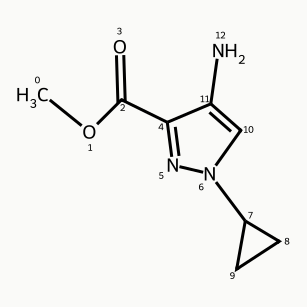 COC(=O)c1nn(C2CC2)cc1N